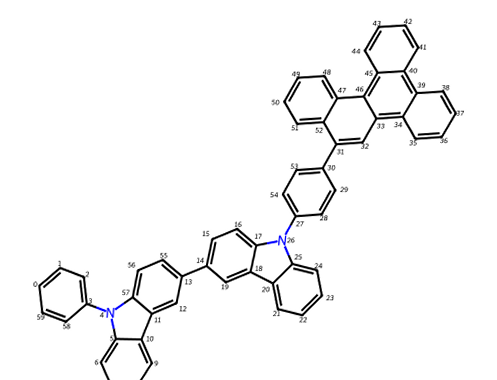 c1ccc(-n2c3ccccc3c3cc(-c4ccc5c(c4)c4ccccc4n5-c4ccc(-c5cc6c7ccccc7c7ccccc7c6c6ccccc56)cc4)ccc32)cc1